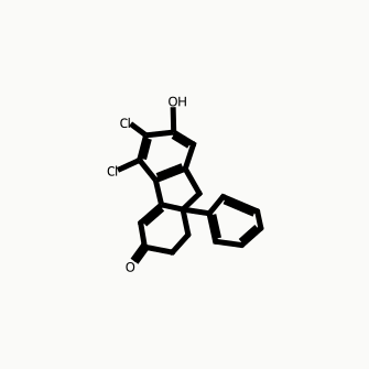 O=C1C=C2c3c(cc(O)c(Cl)c3Cl)CC2(c2ccccc2)CC1